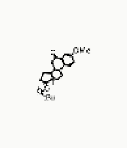 COc1ccc2c(c1)C(=O)CC1C2CC[C@@]2(C)C1CC[C@@H]2O[Si](C)(C)C(C)(C)C